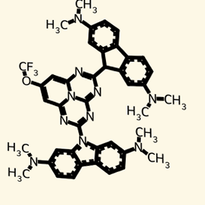 CN(C)c1ccc2c(c1)C(C1=NC3=CC(OC(F)(F)F)=CC4=NC(n5c6cc(N(C)C)ccc6c6ccc(N(C)C)cc65)=NC(=N1)N34)c1cc(N(C)C)ccc1-2